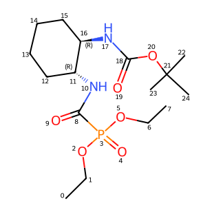 CCOP(=O)(OCC)C(=O)N[C@@H]1CCCC[C@H]1NC(=O)OC(C)(C)C